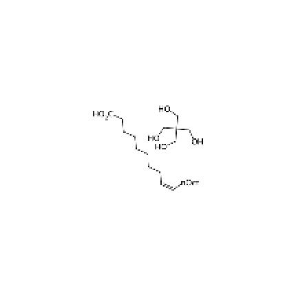 CCCCCCCC/C=C\CCCCCCCC(=O)O.OCC(CO)(CO)CO